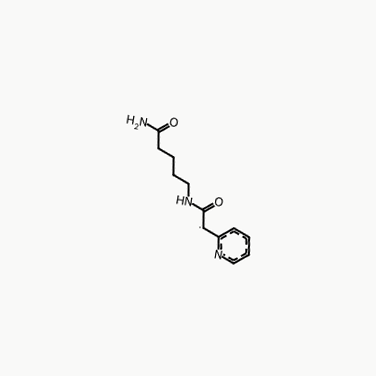 NC(=O)CCCCNC(=O)[CH]c1ccccn1